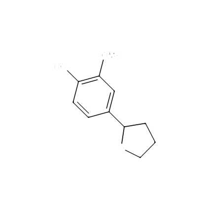 COc1cc(C2CCCO2)ccc1O